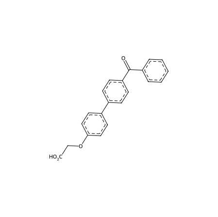 O=C(O)COc1ccc(-c2ccc(C(=O)c3ccccc3)cc2)cc1